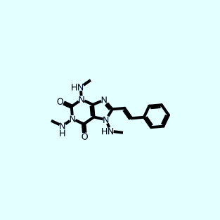 CNn1c(=O)c2c(nc(C=Cc3ccccc3)n2NC)n(NC)c1=O